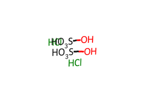 Cl.Cl.O=S(=O)(O)O.O=S(=O)(O)O